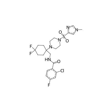 Cn1cnc(S(=O)(=O)N2CCN(C3(CNC(=O)c4ccc(F)cc4Cl)CCC(F)(F)CC3)CC2)c1